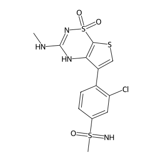 CNC1=NS(=O)(=O)c2scc(-c3ccc(S(C)(=N)=O)cc3Cl)c2N1